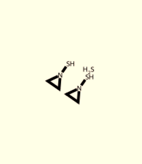 S.SN1CC1.SN1CC1